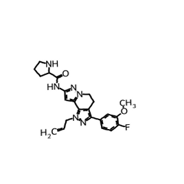 C=CCn1nc(-c2ccc(F)c(OC)c2)c2c1-c1cc(NC(=O)C3CCCN3)nn1CC2